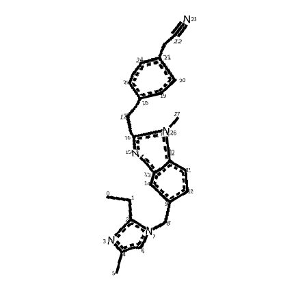 CCc1nc(C)cn1Cc1ccc2c(c1)nc(Cc1ccc(C#N)cc1)n2C